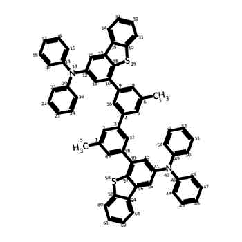 Cc1cc(-c2cc(C)cc(-c3cc(N(c4ccccc4)c4ccccc4)cc4c3sc3ccccc34)c2)cc(-c2cc(N(c3ccccc3)c3ccccc3)cc3c2sc2ccccc23)c1